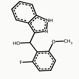 COc1cccc(F)c1C(O)c1n[nH]c2ccccc12